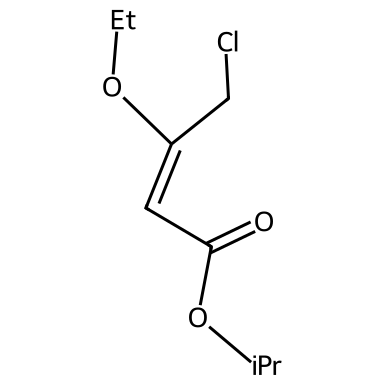 CCO/C(=C/C(=O)OC(C)C)CCl